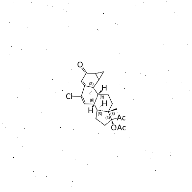 CC(=O)O[C@@]1(C(C)=O)CC[C@H]2[C@@H]3C=C(Cl)C4=CC(=O)C5CC5[C@@]4(C)[C@@H]3CC[C@@]21C